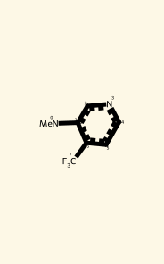 [CH2]Nc1cnccc1C(F)(F)F